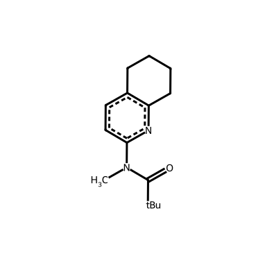 CN(C(=O)C(C)(C)C)c1ccc2c(n1)CCCC2